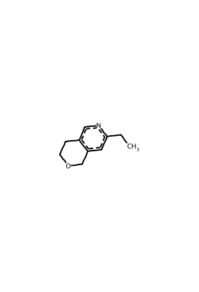 CCc1cc2c(cn1)CCOC2